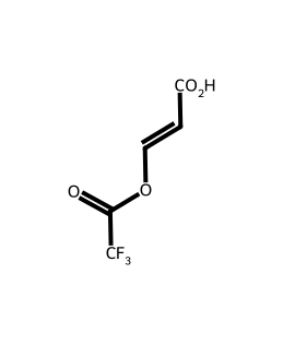 O=C(O)C=COC(=O)C(F)(F)F